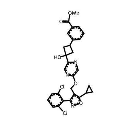 COC(=O)c1cccc(C2CC(O)(c3cnc(OCc4c(-c5c(Cl)cccc5Cl)noc4C4CC4)cn3)C2)c1